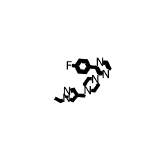 CCN1CC(CN2CCN(c3nccnc3-c3ccc(F)cc3)CC2)C=N1